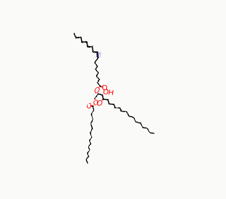 CCCCCCCC/C=C\CCCCCCCC(=O)OC(COC(=O)CCCCCCCCCCCCCCC)C(O)C(=O)CCCCCCCCCCCCCCC